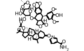 CC(=O)O[C@]1(C(C)=O)CC[C@H]2[C@@H]3C=C(C)C4=CC(=O)CC[C@]4(C)[C@H]3CC[C@@]21C.COc1cc([C@@H]2c3cc4c(cc3C(O[C@@H]3O[C@@H]5CO[C@@H](C)O[C@H]5[C@H](O)[C@H]3O)C3COC(=O)[C@@H]32)OCO4)cc(OC)c1O.NC(=O)c1cccnc1